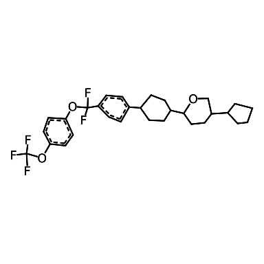 FC(F)(F)Oc1ccc(OC(F)(F)c2ccc(C3CCC(C4CCC(C5CCCC5)CO4)CC3)cc2)cc1